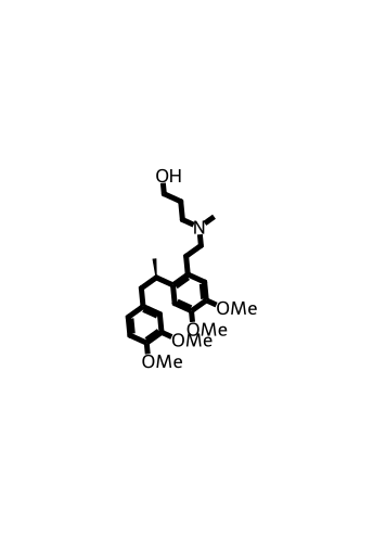 COc1ccc(C[C@@H](C)c2cc(OC)c(OC)cc2CCN(C)CCCO)cc1OC